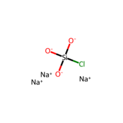 [Na+].[Na+].[Na+].[O-][Si]([O-])([O-])Cl